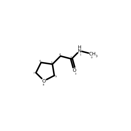 CNC(=O)CC1CCOC1